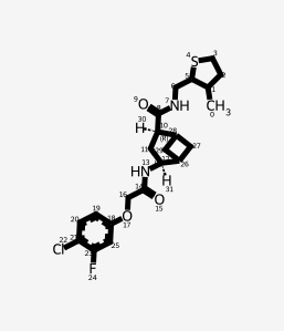 CC1CCSC1CNC(=O)[C@@H]1C[C@H](NC(=O)COc2ccc(Cl)c(F)c2)C2CC1C2